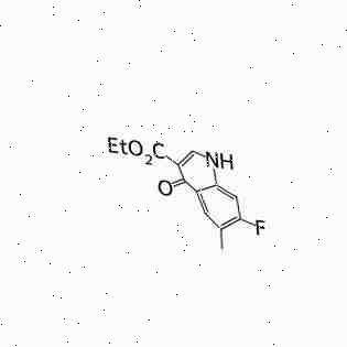 CCOC(=O)c1c[nH]c2cc(F)c(C)cc2c1=O